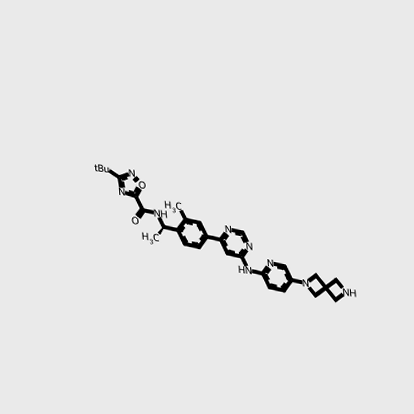 Cc1cc(-c2cc(Nc3ccc(N4CC5(CNC5)C4)cn3)ncn2)ccc1[C@@H](C)NC(=O)c1nc(C(C)(C)C)no1